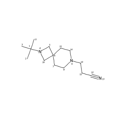 CC(C)(C)N1CC2(CCN(CCC#N)CC2)C1